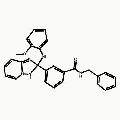 COc1ccccc1NC1(c2cccc(C(=O)NCc3ccccc3)c2)N=C2C=CC=CN2N1